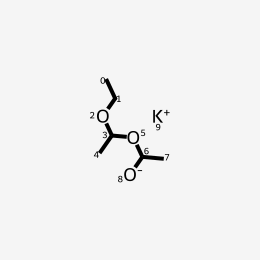 CCOC(C)OC(C)[O-].[K+]